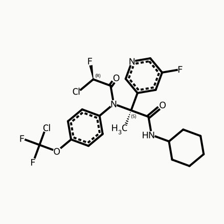 C[C@@](C(=O)NC1CCCCC1)(c1cncc(F)c1)N(C(=O)[C@H](F)Cl)c1ccc(OC(F)(F)Cl)cc1